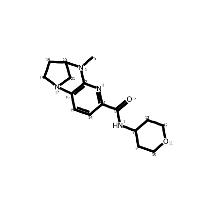 CN1c2nc(C(=O)NC3CCOCC3)ccc2N2CCC1C2